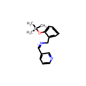 C[Si](C)(C)Oc1ccccc1C/N=C\c1cccnc1